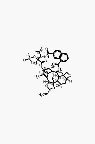 C=C[C@@H]1O[C@@H]2C3=C(C)[C@@H](OC(=O)[C@](C)(O[Si](CC)(CC)CC)[C@@H](NC(=O)c4ccccc4)[C@H](C)F)C[C@@](O)([C@@H](OC(=O)c4ccccc4)[C@H]4[C@@](C)(CC[C@H]5OC[C@]54OC(C)=O)[C@@H]2O1)C3(C)C